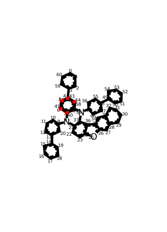 c1ccc(-c2ccc(N(c3cccc(-c4ccccc4)c3)c3ccc4oc5cc6ccccc6cc5c4c3N(c3ccccc3)c3ccc(-c4ccccc4)cc3)cc2)cc1